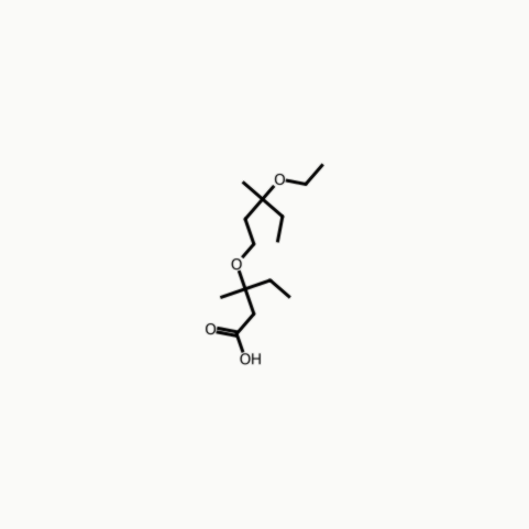 CCOC(C)(CC)CCOC(C)(CC)CC(=O)O